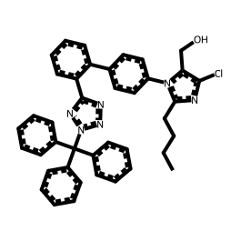 CCCCc1nc(Cl)c(CO)n1-c1ccc(-c2ccccc2-c2nnn(C(c3ccccc3)(c3ccccc3)c3ccccc3)n2)cc1